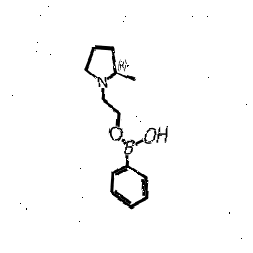 C[C@@H]1CCCN1CCOB(O)c1ccccc1